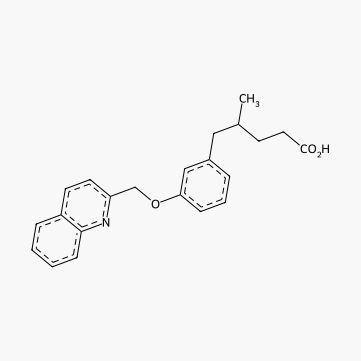 CC(CCC(=O)O)Cc1cccc(OCc2ccc3ccccc3n2)c1